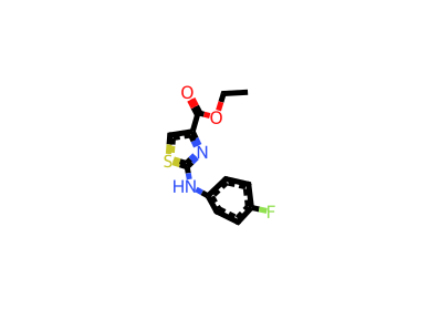 CCOC(=O)c1csc(Nc2ccc(F)cc2)n1